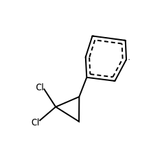 ClC1(Cl)CC1c1c[c]ccc1